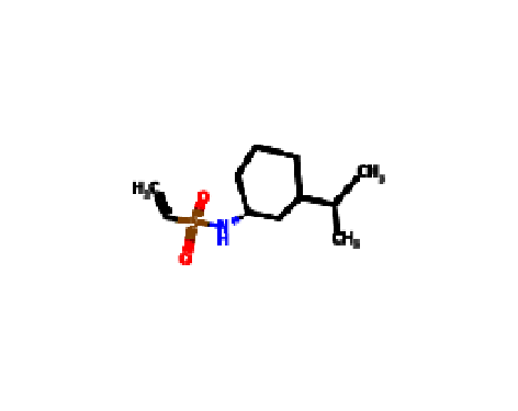 C=CS(=O)(=O)N[C@@H]1CCCC(C(C)C)C1